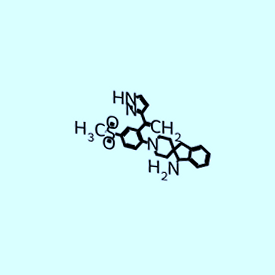 C=C(c1cc[nH]n1)c1cc(S(C)(=O)=O)ccc1N1CCC2(CC1)Cc1ccccc1[C@H]2N